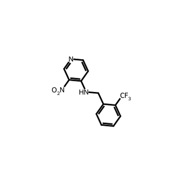 O=[N+]([O-])c1cnccc1NCc1ccccc1C(F)(F)F